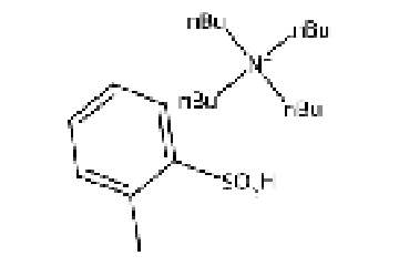 CCCC[N+](CCCC)(CCCC)CCCC.Cc1ccccc1S(=O)(=O)O